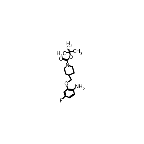 CC(C)(C)OC(=O)N1CCC(COc2cc(F)ccc2N)CC1